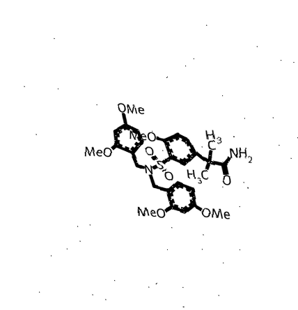 COc1ccc(CN(Cc2ccc(OC)cc2OC)S(=O)(=O)c2cc(C(C)(C)C(N)=O)ccc2OC)c(OC)c1